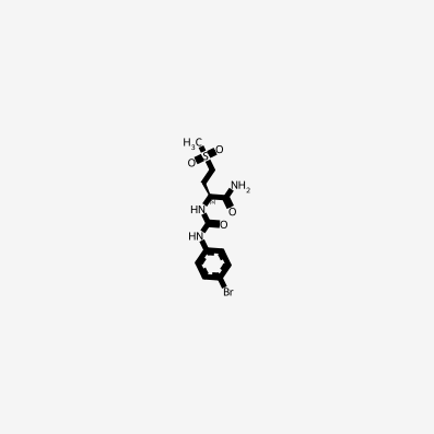 CS(=O)(=O)CC[C@H](NC(=O)Nc1ccc(Br)cc1)C(N)=O